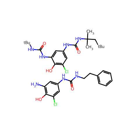 CC(C)(C)CC(C)(C)NC(=O)Nc1cc(Cl)c(O)c(NC(=O)NC(C)(C)C)c1.Nc1cc(NC(=O)NCCc2ccccc2)cc(Cl)c1O